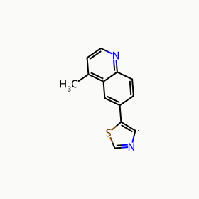 Cc1ccnc2ccc(-c3[c]ncs3)cc12